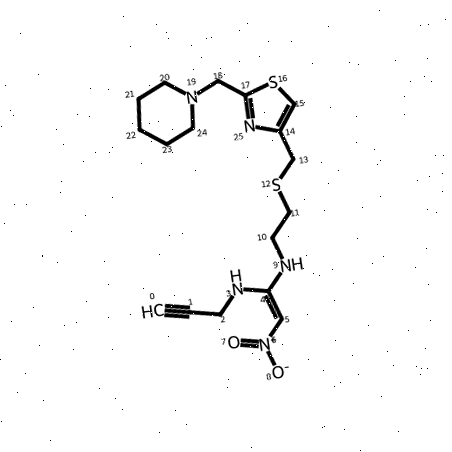 C#CCNC(=C[N+](=O)[O-])NCCSCc1csc(CN2CCCCC2)n1